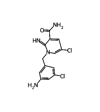 N=c1c(C(N)=O)cc(Cl)cn1Cc1cc(N)cc(Cl)c1